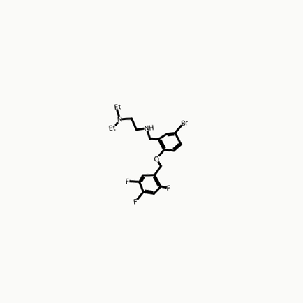 CCN(CC)CCNCc1cc(Br)ccc1OCc1cc(F)c(F)cc1F